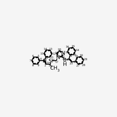 CC(C=C(c1ccccc1)c1ccccc1)[SiH2]Cn1ccnc1BC(=Cc1ccccc1)c1ccccc1